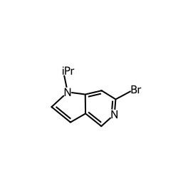 CC(C)n1ccc2cnc(Br)cc21